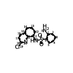 Nc1ccccc1S(=O)(=O)Nc1cccc2ccc(Cl)nc12